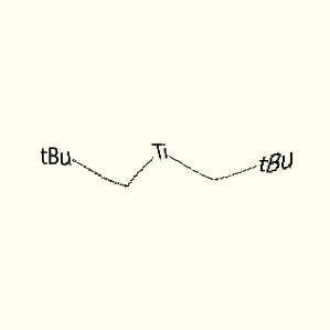 CC(C)(C)[CH2][Ti][CH2]C(C)(C)C